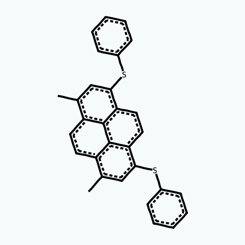 Cc1cc(Sc2ccccc2)c2ccc3c(Sc4ccccc4)cc(C)c4ccc1c2c43